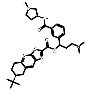 CN(C)CCC(NC(=O)c1nc2cc3c(nc2s1)CC[C@H](C(C)(C)C)C3)c1cccc(C(=O)N[C@H]2CCN(C)C2)c1